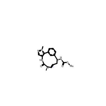 C[C@@H]1/C=C/C[C@H](NC(=O)OC(C)(C)C)c2cccc(c2)-c2c(cnn2C)NC1=O